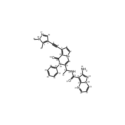 Cc1c(C#Cc2ccn3cc(C(C)NC(=O)c4c(N)nn5cccnc45)n(-c4ccccc4)c(=O)c23)cnn1C